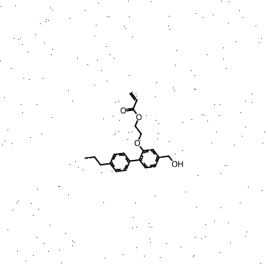 C=CC(=O)OCCOc1cc(CO)ccc1-c1ccc(CCC)cc1